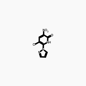 O=c1[nH]c(-n2cccn2)c(Cl)cc1[N+](=O)[O-]